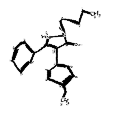 CCCCn1[nH]c(-c2ccccc2)c(-c2ccc(C)cc2)c1=O